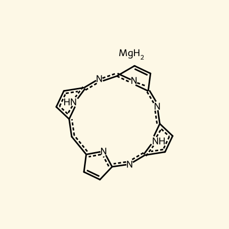 C1=Cc2nc1cc1ccc(nc3nc(nc4ccc(n2)[nH]4)C=C3)[nH]1.[MgH2]